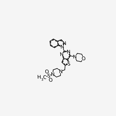 CS(=O)(=O)N1CCN(Cc2cc3nc(-n4ncc5ccccc54)nc(N4CCOCC4)c3s2)CC1